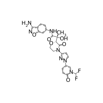 C[C@](O)(C(=O)Nc1ccc2c(N)noc2c1)[C@H]1OCCN(c2ccn(-c3ccc(=O)n(C(F)F)c3)n2)C1=O